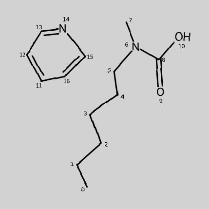 CCCCCCN(C)C(=O)O.c1ccncc1